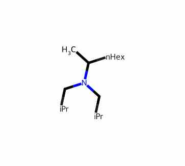 CCCCCCC(C)N(CC(C)C)CC(C)C